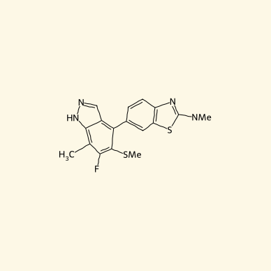 CNc1nc2ccc(-c3c(SC)c(F)c(C)c4[nH]ncc34)cc2s1